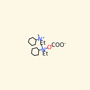 CC[N+](C)(C)C1CCCCC1.CC[N+](C)(C)C1CCCCC1.O=C([O-])[O-]